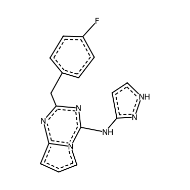 Fc1ccc(Cc2nc(Nc3cc[nH]n3)n3cccc3n2)cc1